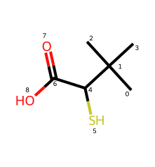 CC(C)(C)C(S)C(=O)O